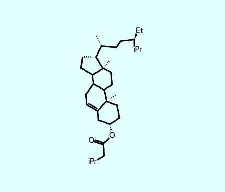 CC[C@H](CC[C@@H](C)[C@H]1CCC2C3CC=C4C[C@@H](OC(=O)CC(C)C)CC[C@]4(C)C3CC[C@@]21C)C(C)C